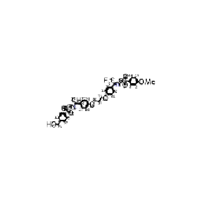 COc1ccc(S(=O)(=O)O/N=C(/c2ccc(OCCCOc3ccc(/C(C)=N/OS(=O)(=O)c4ccc(CO)cc4)cc3)cc2)C(F)(F)F)cc1